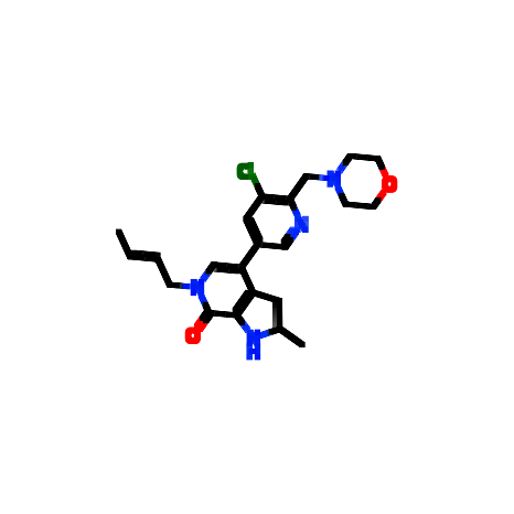 C/C=C/Cn1cc(-c2cnc(CN3CCOCC3)c(Cl)c2)c2cc(C)[nH]c2c1=O